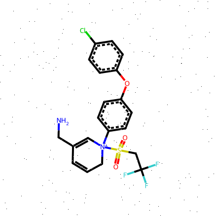 NCC1=C[N+](c2ccc(Oc3ccc(Cl)cc3)cc2)(S(=O)(=O)CC(F)(F)F)CC=C1